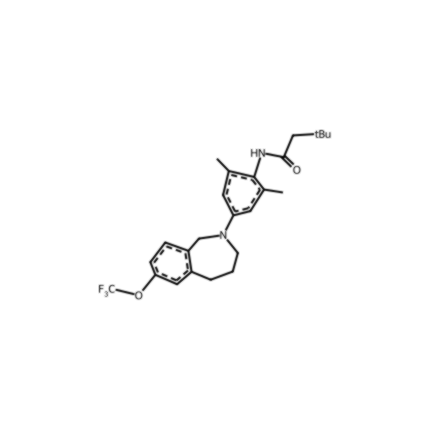 Cc1cc(N2CCCc3cc(OC(F)(F)F)ccc3C2)cc(C)c1NC(=O)CC(C)(C)C